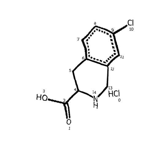 Cl.O=C(O)C1Cc2ccc(Cl)cc2CN1